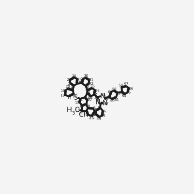 CC1(C)c2ccccc2-c2cc3c(cc21)Sc1ccccc1-c1ccccc1-c1ccccc1-c1ccc(-c2nc(-c4ccccc4)nc(-c4ccc(-c5ccccc5)cc4)n2)cc1-3